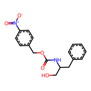 O=C(NC(CO)Cc1ccccc1)OCc1ccc([N+](=O)[O-])cc1